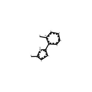 Cc1ccc(-c2ccccc2C)s1